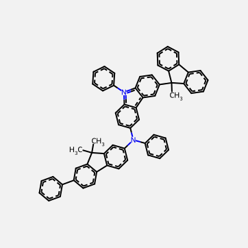 CC1(C)c2cc(-c3ccccc3)ccc2-c2ccc(N(c3ccccc3)c3ccc4c(c3)c3cc(C5(C)c6ccccc6-c6ccccc65)ccc3n4-c3ccccc3)cc21